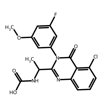 COc1cc(F)cc(-n2c(C(C)NC(=O)O)nc3cccc(Cl)c3c2=O)c1